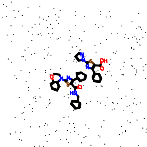 O=C(NCc1ccccc1)c1sc(N2CCOc3ccccc32)nc1-c1ccccc1.O=C(O)c1sc(-n2cccn2)nc1-c1ccccc1